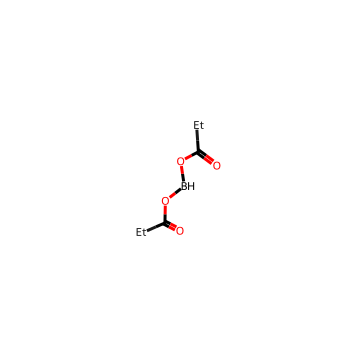 CCC(=O)OBOC(=O)CC